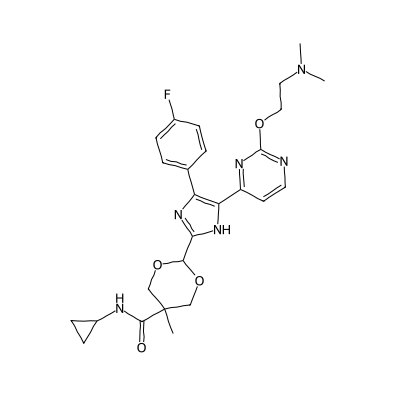 CN(C)CCOc1nccc(-c2[nH]c(C3OCC(C)(C(=O)NC4CC4)CO3)nc2-c2ccc(F)cc2)n1